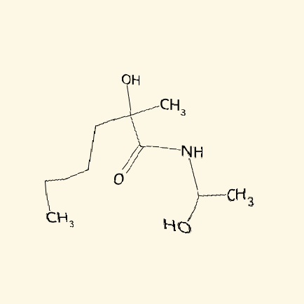 CCCCC(C)(O)C(=O)NC(C)O